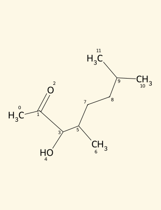 CC(=O)C(O)C(C)CCC(C)C